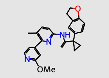 C=C(Nc1ccc(C)c(-c2ccnc(OC)c2)n1)C1(c2ccc3c(c2)CCO3)CC1